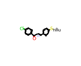 CCCCSc1ccc(/C=C/C(=O)c2ccc(Cl)cc2)cc1